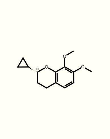 COc1ccc2c(c1OC)O[C@@H](C1CC1)CC2